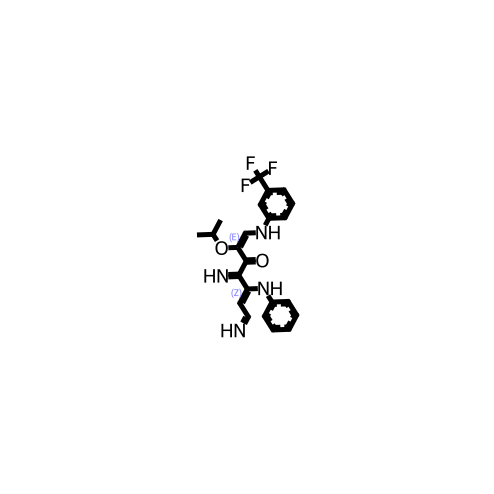 CC(C)O/C(=C/Nc1cccc(C(F)(F)F)c1)C(=O)C(=N)/C(=C/C=N)Nc1ccccc1